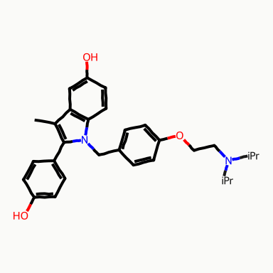 Cc1c(-c2ccc(O)cc2)n(Cc2ccc(OCCN(C(C)C)C(C)C)cc2)c2ccc(O)cc12